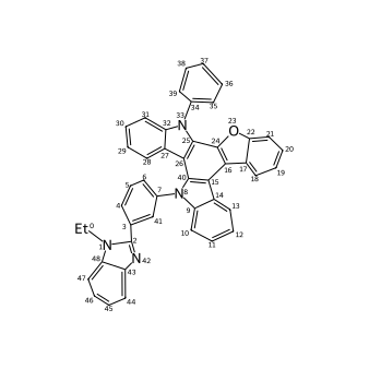 CCn1c(-c2cccc(-n3c4ccccc4c4c5c6ccccc6oc5c5c(c6ccccc6n5-c5ccccc5)c43)c2)nc2ccccc21